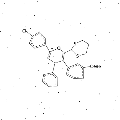 COc1cccc(C2=C(C3SCCCS3)OC(c3ccc(Cl)cc3)=CC2c2ccccc2)c1